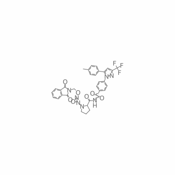 Cc1ccc(-c2cc(C(F)(F)F)nn2-c2ccc(S(=O)(=O)NC(=O)C3CCCN3n3on3OCN3C(=O)c4ccccc4C3=O)cc2)cc1